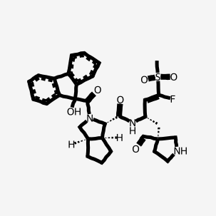 CS(=O)(=O)/C(F)=C/[C@H](C[C@@]1(C=O)CCNC1)NC(=O)[C@@H]1[C@H]2CCC[C@H]2CN1C(=O)C1(O)c2ccccc2-c2ccccc21